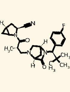 C[C@@H](CN1C[C@@H]2C[C@H]1C(=O)N2[C@@H](c1ccc(F)cc1)C(C)(C)C)C(=O)N1C2C[C@H]2C[C@H]1C#N